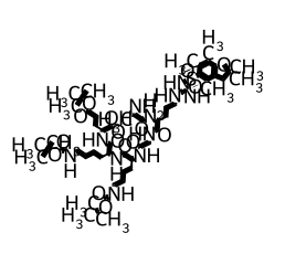 Cc1c(C)c(S(=O)(=O)NC(=N)NCCC[C@H](NC(=O)[C@H](C)N)C(=O)NCC(=O)N[C@@H](CCCCNC(=O)OC(C)(C)C)C(=O)N[C@@H](CCCCNC(=O)OC(C)(C)C)C(=O)N[C@@H](CCC(=O)OC(C)(C)C)C(=O)O)c(C)c2c1OC(C)(C)C2